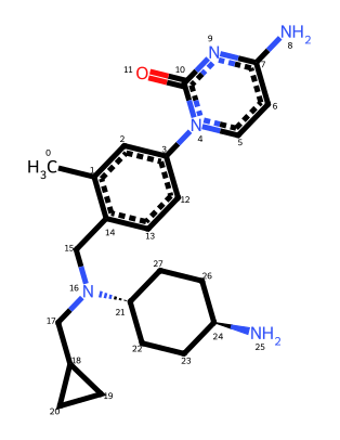 Cc1cc(-n2ccc(N)nc2=O)ccc1CN(CC1CC1)[C@H]1CC[C@H](N)CC1